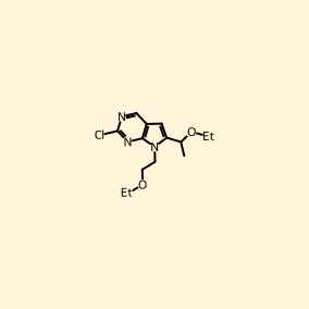 CCOCCn1c(C(C)OCC)cc2cnc(Cl)nc21